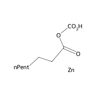 CCCCCCCC(=O)OC(=O)O.[Zn]